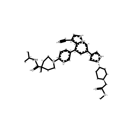 COC(=O)C[C@H]1CC[C@H](n2cc(-c3cc(-c4ccc(N5CCC(C)(C(=O)NC(C)C)CC5)nc4)c4c(C#N)cnn4c3)cn2)CC1